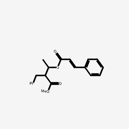 COC(=O)C(CC(C)C)C(C)OC(=O)C=Cc1ccccc1